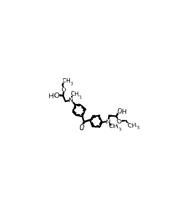 CCOC(O)CN(C)c1ccc(C(=O)c2ccc(N(C)CC(O)OCC)cc2)cc1